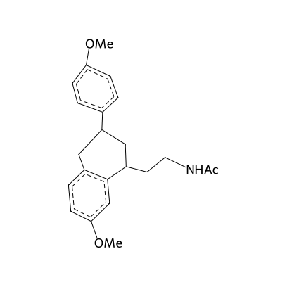 COc1ccc(C2Cc3ccc(OC)cc3C(CCNC(C)=O)C2)cc1